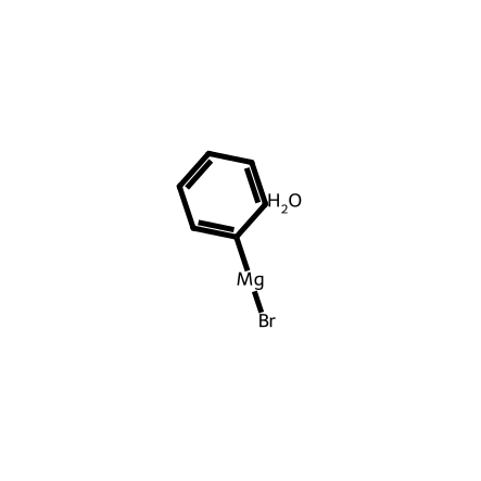 O.[Br][Mg][c]1ccccc1